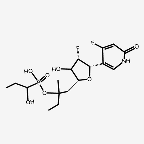 CCC(O)P(=O)(O)OC(C)(CC)C[C@H]1O[C@@H](c2c[nH]c(=O)cc2F)[C@@H](F)C1O